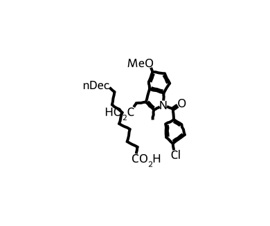 CCCCCCCCCCCCCCCCCC(=O)O.COc1ccc2c(c1)c(CC(=O)O)c(C)n2C(=O)c1ccc(Cl)cc1